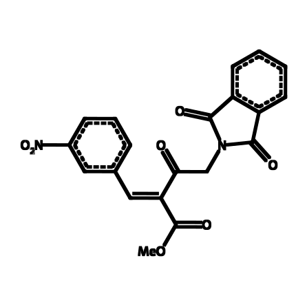 COC(=O)/C(=C/c1cccc([N+](=O)[O-])c1)C(=O)CN1C(=O)c2ccccc2C1=O